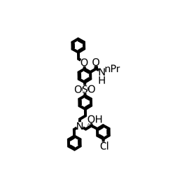 CCCNC(=O)c1cc(S(=O)(=O)c2ccc(CCN(Cc3ccccc3)C[C@@H](O)c3cccc(Cl)c3)cc2)ccc1OCc1ccccc1